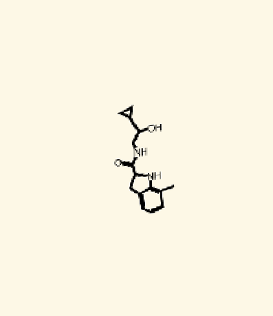 Cc1cccc2c1NC(C(=O)NCC(O)C1CC1)C2